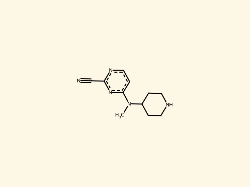 CN(c1ccnc(C#N)n1)C1CCNCC1